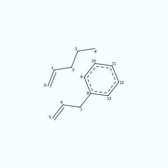 C=CCCC.C=CCc1ccccc1